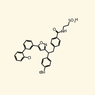 CC(C)(C)c1ccc(C(Cc2ccc(C(=O)NCCS(=O)(=O)O)cc2)c2cc(-c3cccc(-c4ccccc4Cl)c3)on2)cc1